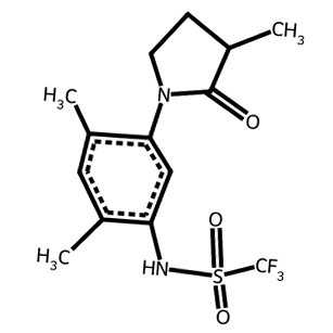 Cc1cc(C)c(N2CCC(C)C2=O)cc1NS(=O)(=O)C(F)(F)F